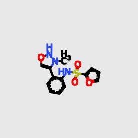 CN1NOC=C1c1ccccc1NS(=O)(=O)c1ccco1